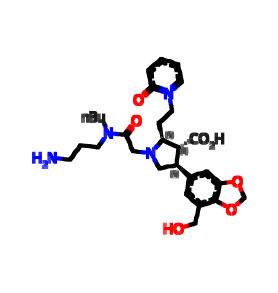 CCCCN(CCCN)C(=O)CN1C[C@H](c2cc(CO)c3c(c2)OCO3)[C@@H](C(=O)O)[C@@H]1CCn1ccccc1=O